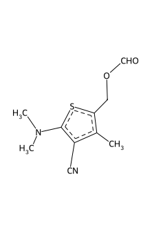 Cc1c(COC=O)sc(N(C)C)c1C#N